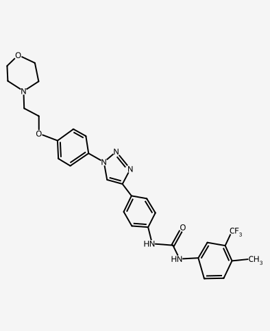 Cc1ccc(NC(=O)Nc2ccc(-c3cn(-c4ccc(OCCN5CCOCC5)cc4)nn3)cc2)cc1C(F)(F)F